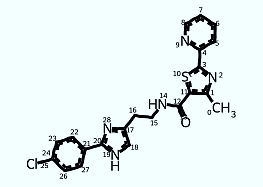 Cc1nc(-c2ccccn2)sc1C(=O)NCCc1c[nH]c(-c2ccc(Cl)cc2)n1